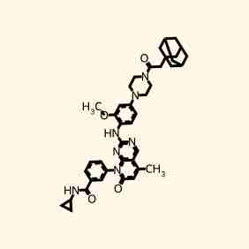 COc1cc(N2CCN(C(=O)CC34CC5CC(CC(C5)C3)C4)CC2)ccc1Nc1ncc2c(C)cc(=O)n(-c3cccc(C(=O)NC4CC4)c3)c2n1